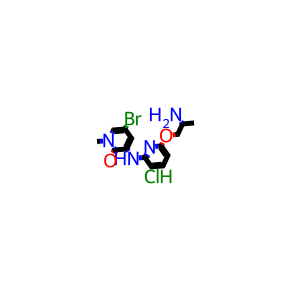 CC(N)COc1cccc(Nc2cc(Br)cn(C)c2=O)n1.Cl